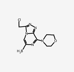 Bc1cn2c(CCl)nnc2c(N2CCOCC2)n1